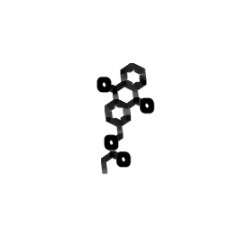 CCC(=O)OCc1ccc2c(c1)C(=O)c1ccccc1C2=O